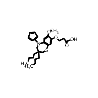 CCCCC1(CCCC)CSc2cc(OCCC(=O)O)c(OC)cc2N(c2ccccc2)C1